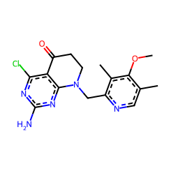 COc1c(C)cnc(CN2CCC(=O)c3c(Cl)nc(N)nc32)c1C